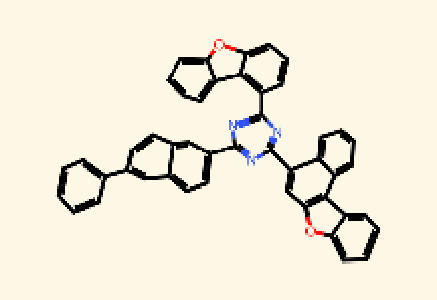 c1ccc(-c2ccc3cc(-c4nc(-c5cc6oc7ccccc7c6c6ccccc56)nc(-c5cccc6oc7ccccc7c56)n4)ccc3c2)cc1